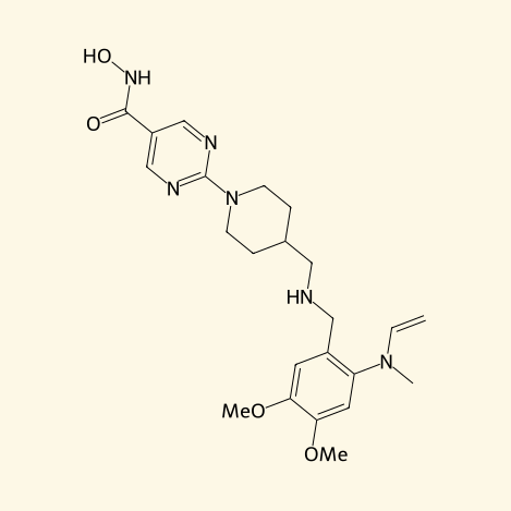 C=CN(C)c1cc(OC)c(OC)cc1CNCC1CCN(c2ncc(C(=O)NO)cn2)CC1